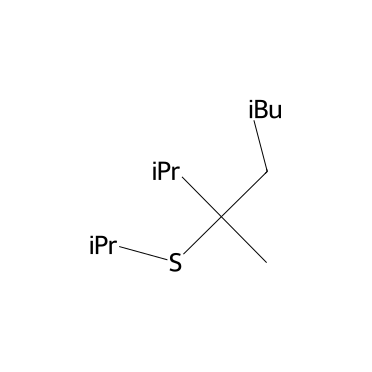 CCC(C)CC(C)(SC(C)C)C(C)C